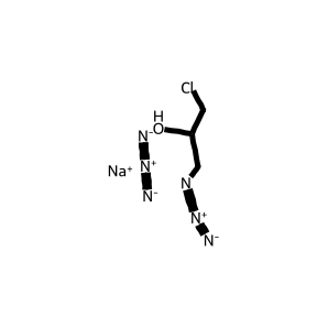 [N-]=[N+]=NCC(O)CCl.[N-]=[N+]=[N-].[Na+]